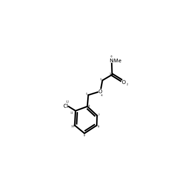 CNC(=O)COCc1ccccc1Cl